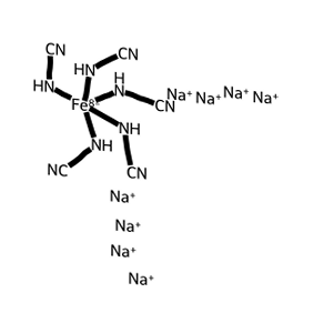 N#C[NH][Fe-8]([NH]C#N)([NH]C#N)([NH]C#N)[NH]C#N.[Na+].[Na+].[Na+].[Na+].[Na+].[Na+].[Na+].[Na+]